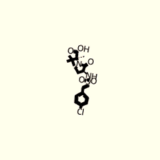 CC(C)(C)[C@@](C)(C(=O)O)N1CC[C@H](NS(=O)(=O)C=Cc2ccc(Cl)cc2)C1=O